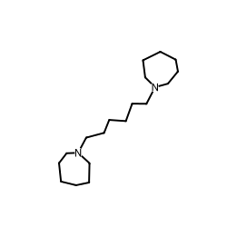 C1CCCN(CCCCCCN2CCCCCC2)CC1